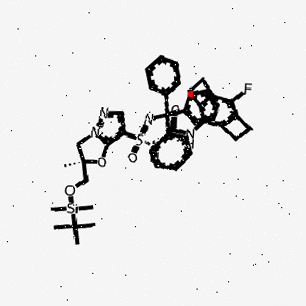 CC(C)(C)[Si](C)(C)OC[C@@]1(C)Cn2ncc([S@](=O)(=NC(c3ccccc3)(c3ccccc3)c3ccccc3)NC(=O)Nc3c4c(c(F)c5c3CC5)CC4)c2O1